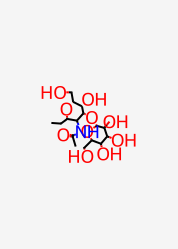 CCC1OC(CO)C(O)C(OC2OC(CO)C(O)C(O)C2O)C1NC(C)=O